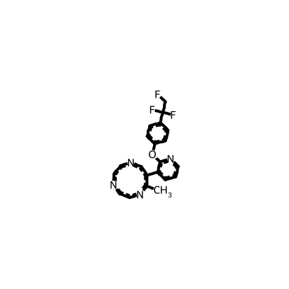 Cc1nccnccncc1-c1cccnc1Oc1ccc(C(F)(F)CF)cc1